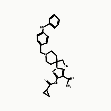 N#CCC1(n2cc(C(N)=O)c(NC(=O)C3CC3)n2)CCN(Cc2ccc(Nc3ccccc3)cc2)CC1